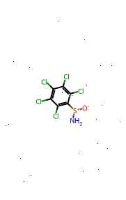 N[S+]([O-])c1c(Cl)c(Cl)c(Cl)c(Cl)c1Cl